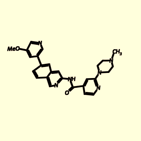 COc1cncc(-c2ccc3cnc(NC(=O)c4ccnc(N5CCN(C)CC5)c4)cc3c2)c1